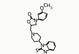 COc1cccc(N2CC(CN3CCC(n4c(=S)[nH]c5ccccc54)CC3)OC2=O)c1